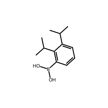 CC(C)c1cccc(B(O)O)c1C(C)C